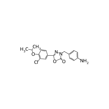 CC(C)Oc1ccc(-c2nn(Cc3ccc(N)cc3)c(=O)o2)cc1Cl